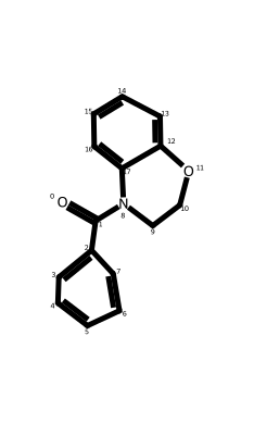 O=C(c1ccccc1)N1CCOc2ccccc21